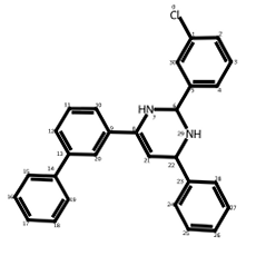 Clc1cccc(C2NC(c3cccc(-c4ccccc4)c3)=CC(c3ccccc3)N2)c1